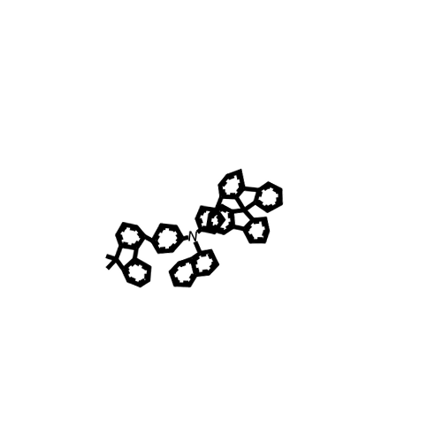 CC1(C)c2ccccc2-c2c(-c3ccc(N(c4ccc(-c5cccc6c5C5(c7ccccc7-c7ccccc75)c5ccccc5-6)cc4)c4cccc5ccccc45)cc3)cccc21